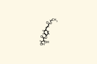 CCOC(=O)C=Cc1ccc(OC(=O)C(O)CO)cc1